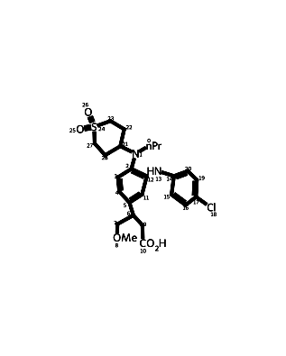 CCCN(c1ccc(C(COC)CC(=O)O)cc1Nc1ccc(Cl)cc1)C1CCS(=O)(=O)CC1